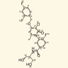 Cc1cc(OCc2ccc(F)cc2F)c(Cl)c(=O)n1-c1cc(C(=O)NC(CO)CO)ccc1F